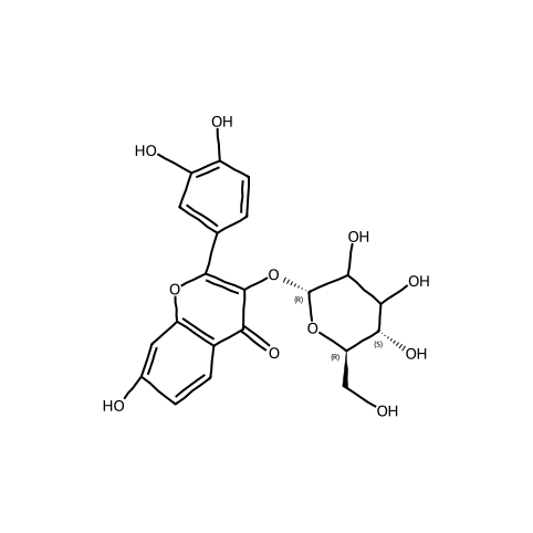 O=c1c(O[C@H]2O[C@H](CO)[C@@H](O)C(O)C2O)c(-c2ccc(O)c(O)c2)oc2cc(O)ccc12